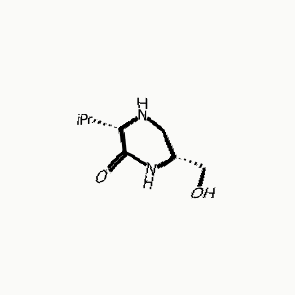 CC(C)[C@@H]1NC[C@H](CO)NC1=O